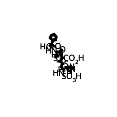 O=C(O)C1=C(C(CCNS(=O)(=O)O)Sc2nnn[nH]2)CS[C@H]2C(NC(=O)C(O)c3ccccc3)C(=O)N12